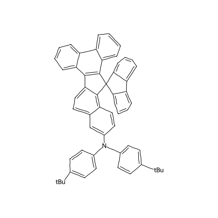 CC(C)(C)c1ccc(N(c2ccc(C(C)(C)C)cc2)c2ccc3c4c(ccc3c2)-c2c(c3ccccc3c3ccccc23)C42c3ccccc3-c3ccccc32)cc1